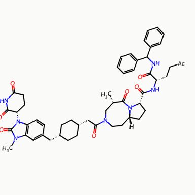 CC(=O)CC[C@H](NC(=O)[C@@H]1CC[C@@H]2CCN(C(=O)C[C@H]3CC[C@@H](Cc4ccc5c(c4)n(C)c(=O)n5[C@H]4CCC(=O)NC4=O)CC3)C[C@H](C)C(=O)N21)C(=O)NC(c1ccccc1)c1ccccc1